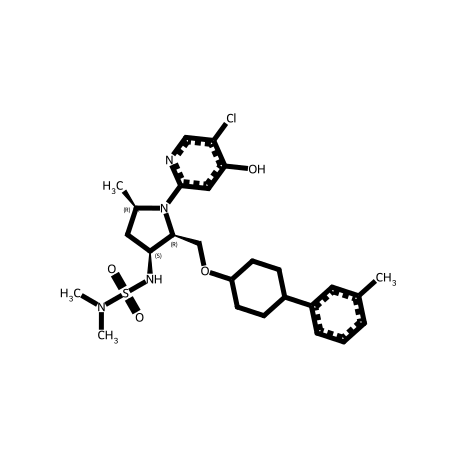 Cc1cccc(C2CCC(OC[C@H]3[C@@H](NS(=O)(=O)N(C)C)C[C@@H](C)N3c3cc(O)c(Cl)cn3)CC2)c1